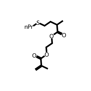 C=C(C)C(=O)OCCOC(=O)C(C)CCSCCC